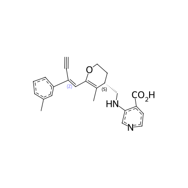 C#C/C(=C\C1=C(C)[C@@H](CNc2cnccc2C(=O)O)CCO1)c1cccc(C)c1